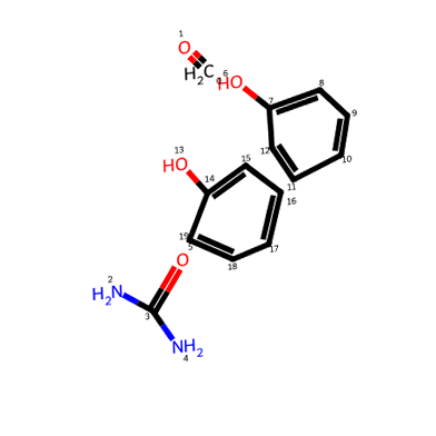 C=O.NC(N)=O.Oc1ccccc1.Oc1ccccc1